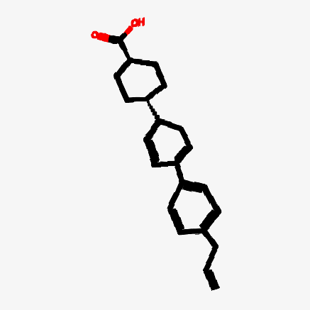 C=CCc1ccc(C2=CCC([C@H]3CC[C@H](C(=O)O)CC3)C=C2)cc1